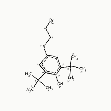 CC(C)(C)c1cc(SCCBr)cc(C(C)(C)C)c1O